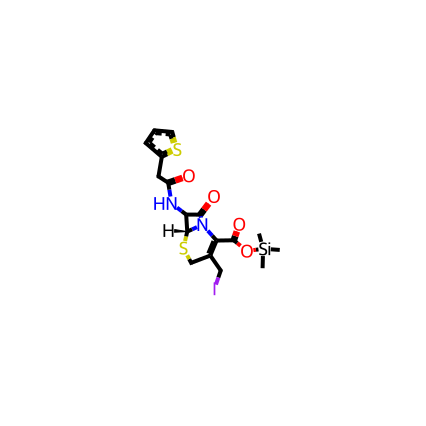 C[Si](C)(C)OC(=O)C1=C(CI)CS[C@@H]2C(NC(=O)Cc3cccs3)C(=O)N12